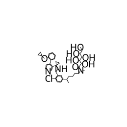 CC(CCCCN(C)C(=O)C(O)C(O)C(O)C(O)CO)c1ccc(Cl)c(CNC2(c3cnccc3-c3ccccc3OC3CC3)CC2)c1